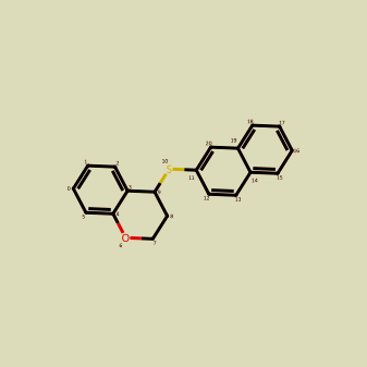 c1ccc2c(c1)OCCC2Sc1ccc2ccccc2c1